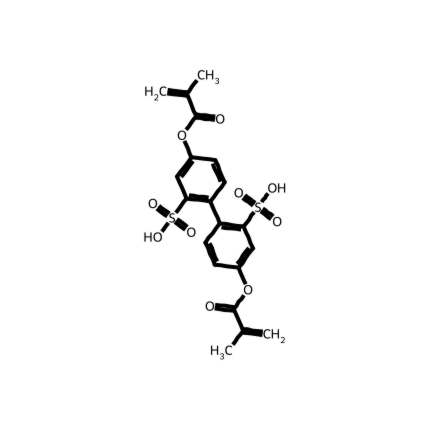 C=C(C)C(=O)Oc1ccc(-c2ccc(OC(=O)C(=C)C)cc2S(=O)(=O)O)c(S(=O)(=O)O)c1